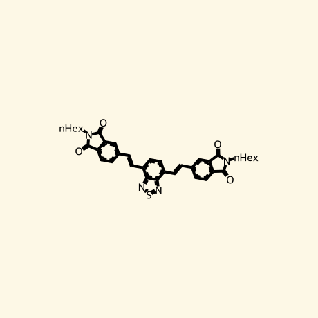 CCCCCCN1C(=O)c2ccc(C=Cc3ccc(C=Cc4ccc5c(c4)C(=O)N(CCCCCC)C5=O)c4nsnc34)cc2C1=O